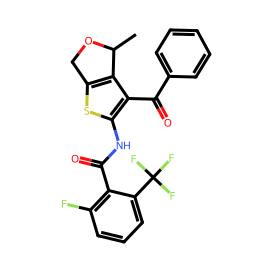 CC1OCc2sc(NC(=O)c3c(F)cccc3C(F)(F)F)c(C(=O)c3ccccc3)c21